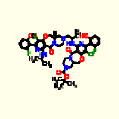 CC(C)Nc1nc(-c2c(O)cccc2F)c(Cl)c2c1C(=O)N1CCN(CC(C)Nc3nc(-c4c(O)cccc4F)c(Cl)c4c3C(=O)N3CCN(C(=O)OC(C)(C)C)CC3CO4)C[C@@H]1CO2